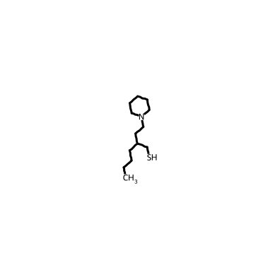 CCCCC(CS)CCN1CCCCC1